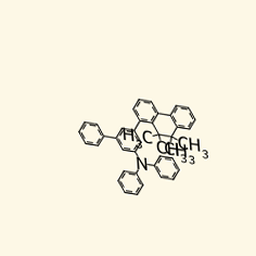 CC1(C)c2ccccc2-c2cccc(-c3cc(-c4ccccc4)cc(N(c4ccccc4)c4ccccc4)c3)c2C1(C)C